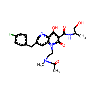 CC(=O)N(C)CCn1c(=O)c(C(=O)NC(C)CO)c(O)c2ncc(Cc3ccc(F)cc3)cc21